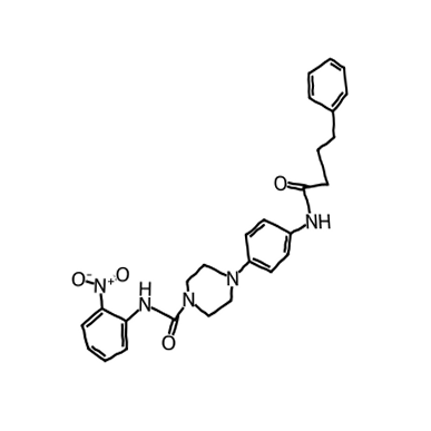 O=C(CCCc1ccccc1)Nc1ccc(N2CCN(C(=O)Nc3ccccc3[N+](=O)[O-])CC2)cc1